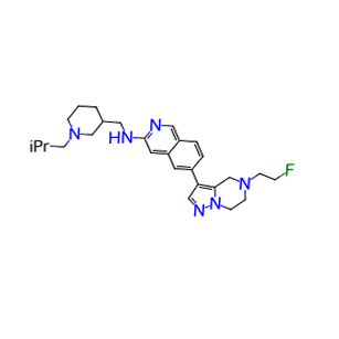 CC(C)CN1CCCC(CNc2cc3cc(-c4cnn5c4CN(CCF)CC5)ccc3cn2)C1